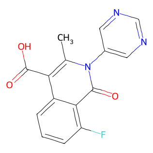 Cc1c(C(=O)O)c2cccc(F)c2c(=O)n1-c1cncnc1